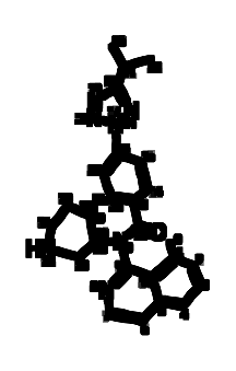 Cc1cccc2ccnc(N(C(=O)c3ccc(-n4nnc(C(C)C)n4)cc3F)[C@@H]3CCCNC3)c12